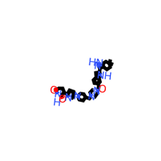 CC1(C)CCc2c(-c3cc4ccc(C(=O)N5CCN(CC6CCN(c7ccc(C8CCC(=O)NC8=O)nc7)CC6)CC5)cc4[nH]3)n[nH]c2C1